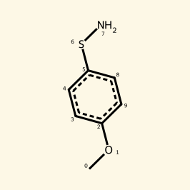 COc1ccc(SN)cc1